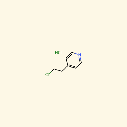 Cl.ClCCc1ccncc1